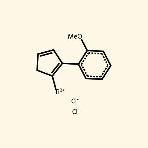 COc1ccccc1C1=[C]([Ti+2])CC=C1.[Cl-].[Cl-]